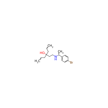 C=CCC(O)(CC=C)CCN[C@@H](C)c1ccc(Br)cc1